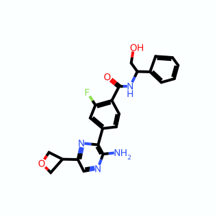 Nc1ncc(C2COC2)nc1-c1ccc(C(=O)NC(CO)c2ccccc2)c(F)c1